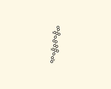 CC1(C)c2ccccc2-c2ccc(-c3ccc(-c4c5ccccc5c(-c5cccc6c(-c7cccc8c(-c9ccc(-c%10c%11ccccc%11c(-c%11ccc%12ccccc%12c%11)c%11ccncc%10%11)cc9)cccc78)cccc56)c5ccncc45)cc3)cc21